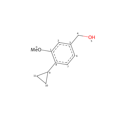 COc1cc(CO)ccc1C1CC1